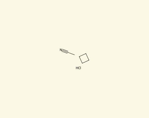 C1CCC1.CC#N.Cl